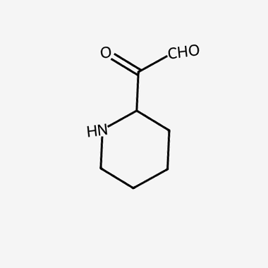 O=CC(=O)C1CCCCN1